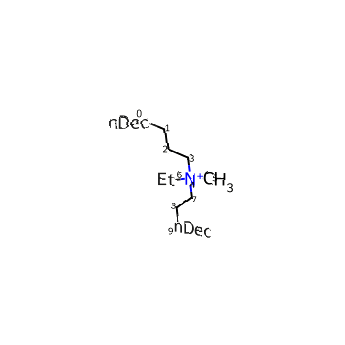 CCCCCCCCCCCCC[N+](C)(CC)CCCCCCCCCCCC